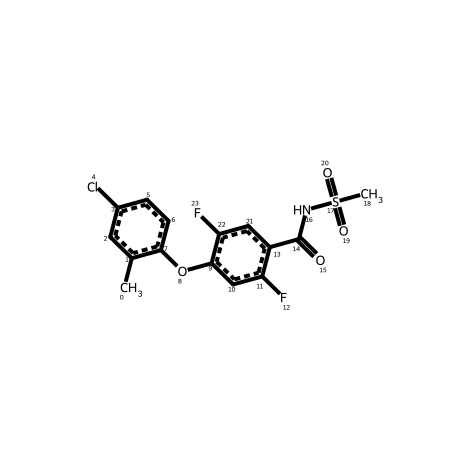 Cc1cc(Cl)ccc1Oc1cc(F)c(C(=O)NS(C)(=O)=O)cc1F